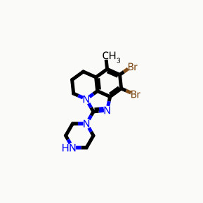 Cc1c(Br)c(Br)c2nc(N3CCNCC3)n3c2c1CCC3